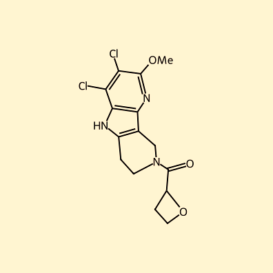 COc1nc2c3c([nH]c2c(Cl)c1Cl)CCN(C(=O)C1CCO1)C3